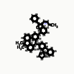 C=C/C=C\c1c(-c2ccccc2)oc2c(-c3cccc(N(c4ccc5c(c4)C4(CCCC4)c4ccccc4-5)c4cccc5c4-c4ccccc4C5(C)C)c3)cccc12